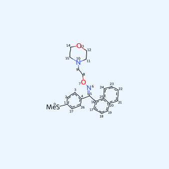 CSc1ccc(C(=NOCCN2CCOCC2)c2cccc3ccccc23)cc1